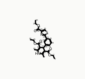 CCOC(=O)C1=C(C)NC(C)=C(C(=O)OCC)C1c1cccc(-c2nc(C(=O)OCC)cs2)c1